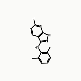 Cc1cccc(C)c1Nc1n[nH]c2nc(Cl)ncc12